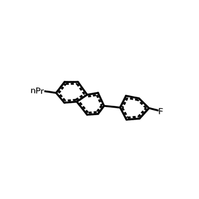 CCCc1ccc2cc(-c3ccc(F)cc3)ccc2c1